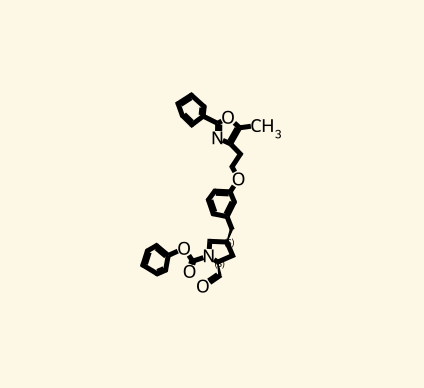 Cc1oc(-c2ccccc2)nc1CCOc1cccc(C[C@H]2C[C@@H](C=O)N(C(=O)Oc3ccccc3)C2)c1